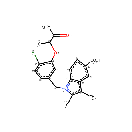 COC(=O)C(C)Oc1cc(Cn2c(C)c(C)c3cc(C(=O)O)ccc32)ccc1Cl